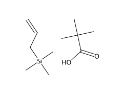 C=CC[Si](C)(C)C.CC(C)(C)C(=O)O